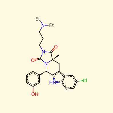 CCN(CC)CCCN1C(=O)N2[C@H](c3cccc(O)c3)c3[nH]c4ccc(Cl)cc4c3C[C@@]2(C)C1=O